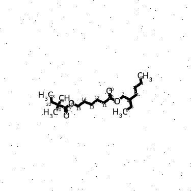 CCCCC(CC)COC(=O)CCCCCOC(=O)C(C)(C)CC